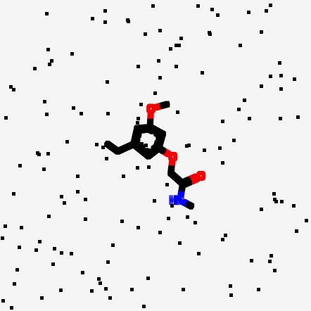 CCc1cc(OC)cc(OCC(=O)NC)c1